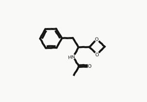 CC(=O)NC(Cc1ccccc1)C1OCO1